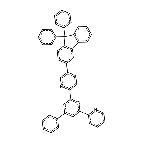 c1ccc(-c2cc(-c3ccccn3)nc(-c3ccc(-c4ccc5c(c4)-c4ccccc4C5(c4ccccc4)c4ccccc4)cn3)c2)cc1